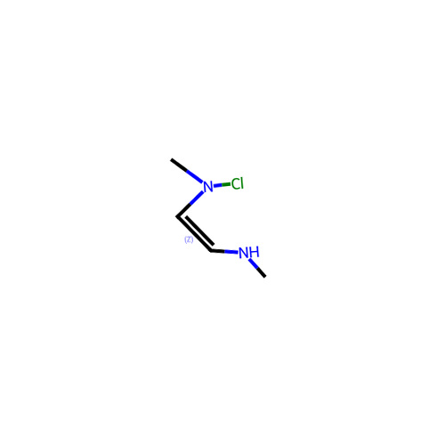 CN/C=C\N(C)Cl